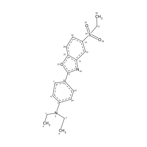 CCN(CC)c1ccc(-c2nc3cc(S(=O)(=O)CC)ccc3o2)cc1